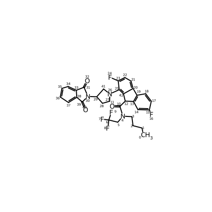 CCCCN(CC(F)(F)F)C(=O)C1c2cc(F)ccc2-c2ccc(F)c(N3CCC(N4C(=O)c5ccccc5C4=O)C3)c21